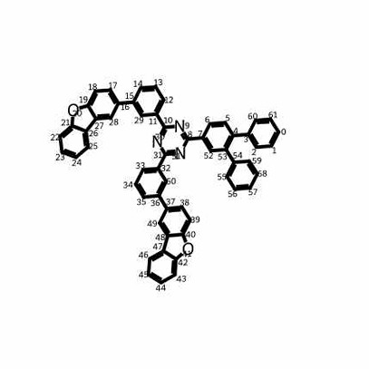 c1ccc(-c2ccc(-c3nc(-c4cccc(-c5ccc6oc7ccccc7c6c5)c4)nc(-c4cccc(-c5ccc6oc7ccccc7c6c5)c4)n3)cc2-c2ccccc2)cc1